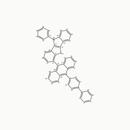 c1ccc(-c2ccc(-c3c4ccccc4c(-c4cccc5c4sc4c6ccccc6n(-c6ccccc6)c54)c4ccccc34)cc2)cc1